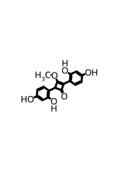 COC1=C(c2ccc(O)cc2O)C(=O)C1c1ccc(O)cc1O